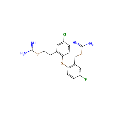 N=C(N)SCCc1cc(Cl)ccc1Sc1ccc(F)cc1CSC(=N)N